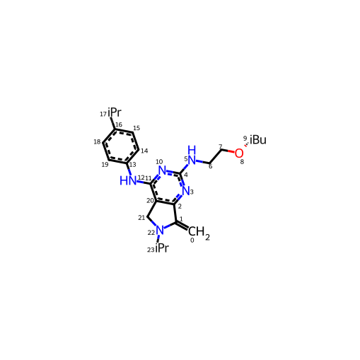 C=C1c2nc(NCCO[C@@H](C)CC)nc(Nc3ccc(C(C)C)cc3)c2CN1C(C)C